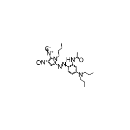 [C-]#[N+]c1cc(N=Nc2ccc(N(CCC)CCC)cc2NC(C)=O)n(CCCC)c1[N+]#[C-]